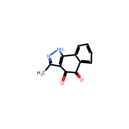 Cc1n[nH]c2c1C(=O)C(=O)c1ccccc1-2